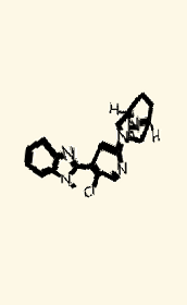 CC(=O)N1[C@@H]2CC[C@H]1CN(c1cc(-c3nc4ccccc4n3C)c(Cl)cn1)C2